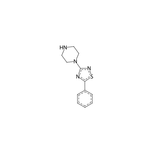 c1ccc(-c2nc(N3CCNCC3)ns2)cc1